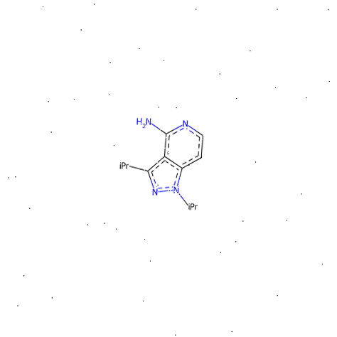 CC(C)c1nn(C(C)C)c2ccnc(N)c12